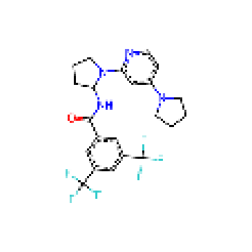 O=C(NC1CCCN1c1cc(N2CCCC2)ccn1)c1cc(C(F)(F)F)cc(C(F)(F)F)c1